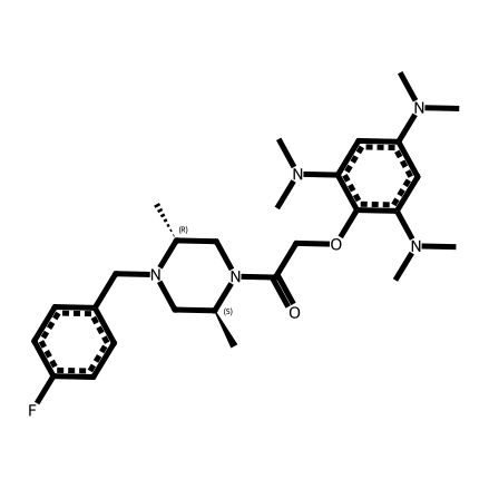 C[C@@H]1CN(C(=O)COc2c(N(C)C)cc(N(C)C)cc2N(C)C)[C@@H](C)CN1Cc1ccc(F)cc1